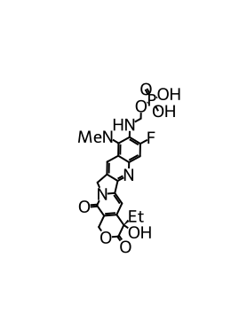 CC[C@@]1(O)C(=O)OCc2c1cc1n(c2=O)Cc2cc3c(NC)c(NCOP(=O)(O)O)c(F)cc3nc2-1